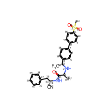 CC(C)C(N[C@@H](c1ccc(-c2ccc(S(C)(=O)=O)cc2)cc1)C(F)(F)F)C(=O)N[C@H](C#N)Cc1ccccc1